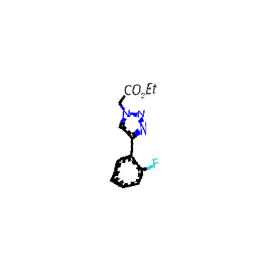 CCOC(=O)Cn1cc(-c2ccccc2F)nn1